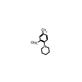 Cc1ccc(N2CCCCC2)c(C=O)c1